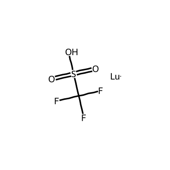 O=S(=O)(O)C(F)(F)F.[Lu]